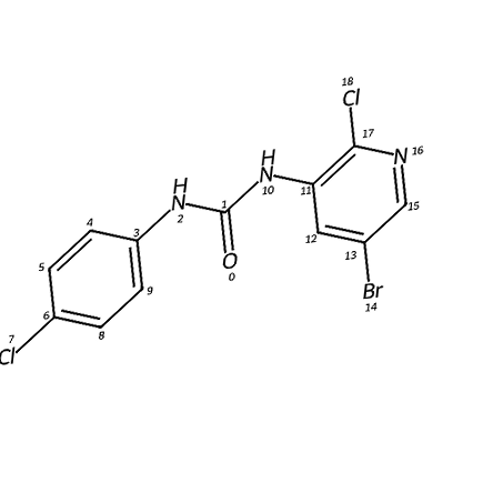 O=C(Nc1ccc(Cl)cc1)Nc1cc(Br)cnc1Cl